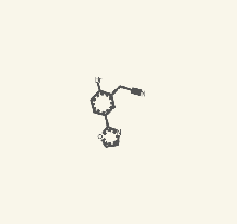 N#CCc1cc(-c2ncco2)ccc1Br